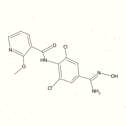 COc1ncccc1C(=O)Nc1c(Cl)cc(/C(N)=N/O)cc1Cl